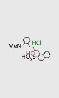 CNCc1ccccc1CCC(O)Cc1c(S(=O)(=O)O)ccc2ccccc12.Cl